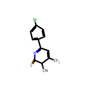 N#CC1C(=S)N=C(c2ccc(Br)cc2)C=C1C(F)(F)F